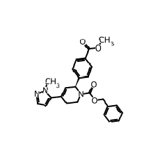 COC(=O)c1ccc([C@@H]2C=C(c3ccnn3C)CCN2C(=O)OCc2ccccc2)cc1